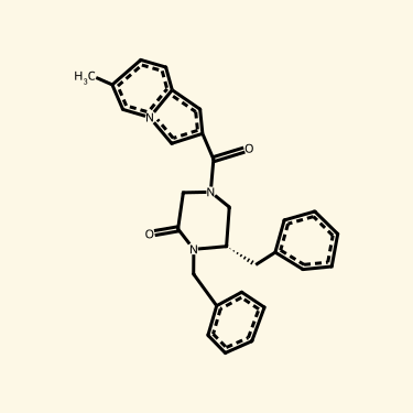 Cc1ccc2cc(C(=O)N3CC(=O)N(Cc4ccccc4)[C@@H](Cc4ccccc4)C3)cn2c1